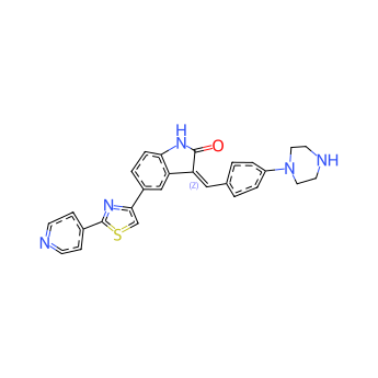 O=C1Nc2ccc(-c3csc(-c4ccncc4)n3)cc2/C1=C/c1ccc(N2CCNCC2)cc1